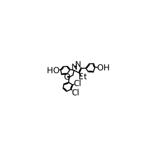 CCC1=C(c2ccc(O)cc2)N=NC1(CC(=O)c1cccc(Cl)c1Cl)c1ccc(O)cc1